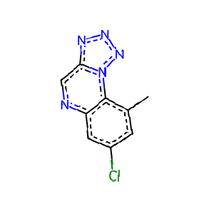 Cc1cc(Cl)cc2ncc3nnnn3c12